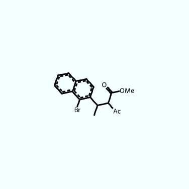 COC(=O)C(C(C)=O)C(C)c1ccc2ccccc2c1Br